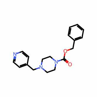 O=C(OCc1ccccc1)N1CCN(Cc2ccncc2)CC1